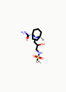 CS(=O)(=O)NCC(O)CN1[C@H]2C[CH]C[C@]1(C(N)=O)CC2